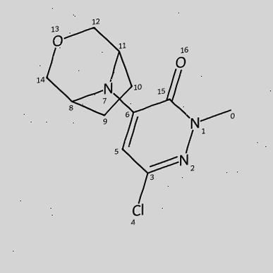 Cn1nc(Cl)cc(N2C3CCC2COC3)c1=O